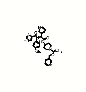 C=C(OCc1cccnc1)N1CCC(NC(=O)C(c2cccnc2)N(C(=O)c2c[nH]cn2)c2ccc(C(C)(C)C)cc2)CC1